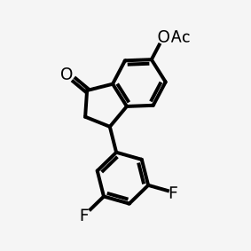 CC(=O)Oc1ccc2c(c1)C(=O)CC2c1cc(F)cc(F)c1